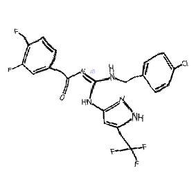 O=C(/N=C(/NCc1ccc(Cl)cc1)Nc1cc(C(F)(F)F)[nH]n1)c1ccc(F)c(F)c1